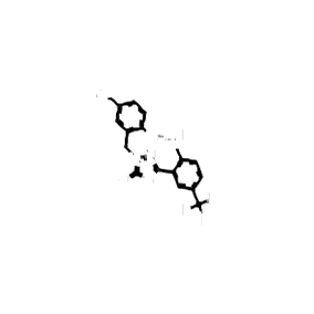 COc1ccc(Cl)cc1Cn1nc(-c2cc(C(F)(F)F)ccc2Cl)oc1=O